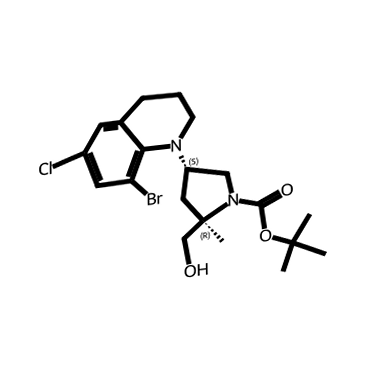 CC(C)(C)OC(=O)N1C[C@@H](N2CCCc3cc(Cl)cc(Br)c32)C[C@]1(C)CO